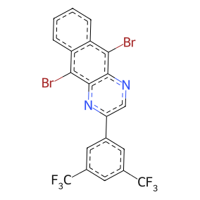 FC(F)(F)c1cc(-c2cnc3c(Br)c4ccccc4c(Br)c3n2)cc(C(F)(F)F)c1